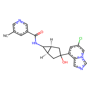 N#Cc1cncc(C(=O)NC2[C@H]3CC(O)(c4cc(Cl)cn5cncc45)C[C@@H]23)c1